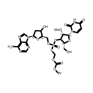 CO[C@H]1C(OP(=O)(OC[C@H]2O[C@@H](n3cnc4c(N)ncnc43)CC2O)SCOC(=O)OC(C)C)[C@@H](CO)O[C@H]1n1ccc(=O)[nH]c1=O